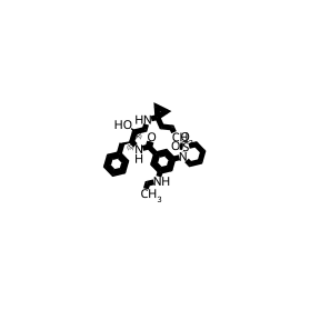 CCCC1(NC[C@@H](O)[C@H](Cc2ccccc2)NC(=O)c2cc(NCC)cc(N3CCCCS3(=O)=O)c2)CC1